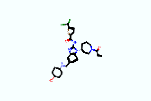 C=CC(=O)N1CCC[C@@H](n2c(NC(=O)c3ccc(C(F)F)s3)nc3cc(CN[C@H]4CC[C@H](O)CC4)ccc32)CC1